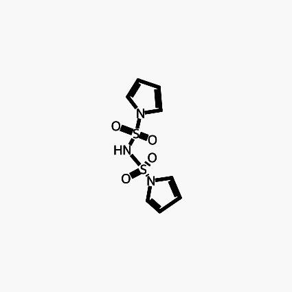 O=S(=O)(NS(=O)(=O)n1cccc1)n1cccc1